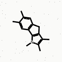 Cc1cc2c(cc1C)-c1c(c(C)c(C)n1C)C2